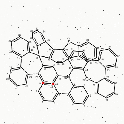 c1ccc(-c2ccccc2N(c2ccc3c(c2)C2(c4ccccc4-c4ccccc4-3)c3ccccc3-c3c2ccc2c3sc3ccccc32)c2cccc3c2Oc2ccccc2-c2ccccc2-3)cc1